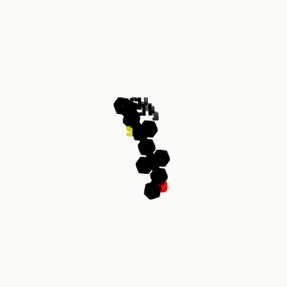 CC1(C)c2ccccc2-c2cc3sc4cc(-c5ccc(-c6c7ccccc7c(-c7ccc8oc9ccccc9c8c7)c7ccccc67)cc5)c5ccccc5c4c3cc21